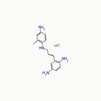 Cc1cc(N)ccc1NC/C=C/c1cc(N)ccc1N.Cl